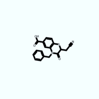 N#CCC1Sc2ccc(C(=O)O)cc2N(Cc2ccccc2)C1=O